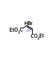 Br.CCOC(=O)/C=C\C(=O)OCC